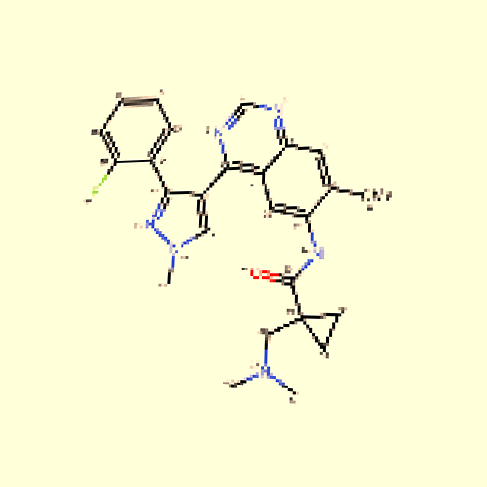 COc1cc2ncnc(-c3cn(C)nc3-c3ccccc3F)c2cc1NC(=O)C1(CN(C)C)CC1